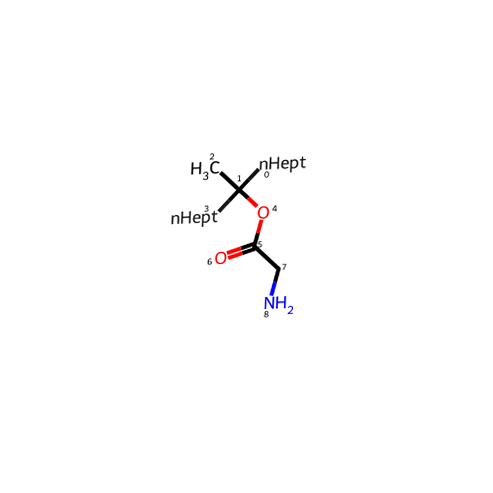 CCCCCCCC(C)(CCCCCCC)OC(=O)CN